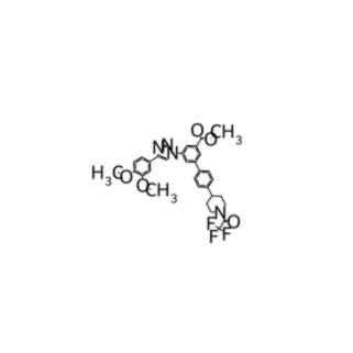 COC(=O)c1cc(-c2ccc(C3CCN(C(=O)C(F)(F)F)CC3)cc2)cc(-n2cc(-c3ccc(OC)c(OC)c3)nn2)c1